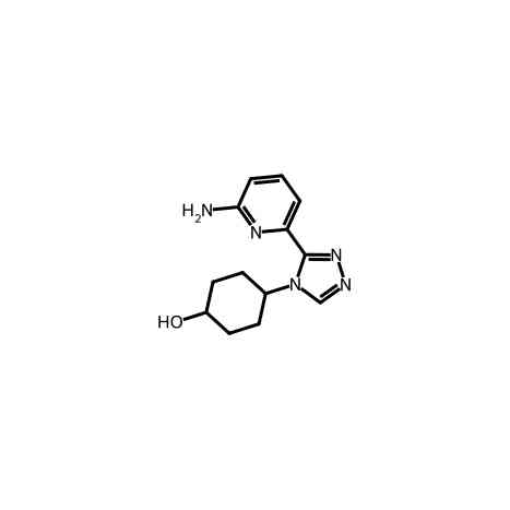 Nc1cccc(-c2nncn2C2CCC(O)CC2)n1